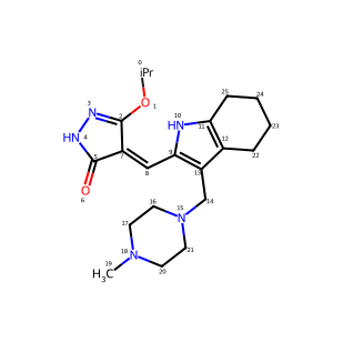 CC(C)OC1=NNC(=O)C1=Cc1[nH]c2c(c1CN1CCN(C)CC1)CCCC2